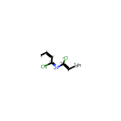 C\C=C/C(Cl)=N\C(Cl)=C\CCC